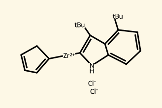 CC(C)(C)c1cccc2[nH][c]([Zr+2][C]3=CC=CC3)c(C(C)(C)C)c12.[Cl-].[Cl-]